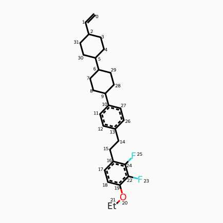 C=CC1CCC(C2CCC(c3ccc(CCc4ccc(OCC)c(F)c4F)cc3)CC2)CC1